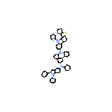 c1ccc(-c2cc3cc(N(c4ccccc4)c4cccc(-c5ccccc5N(c5ccccc5)c5ccc6c(c5)c5ccc7sc8ccccc8c7c5n6-c5ccccc5)c4)ccc3n2-c2ccccc2)cc1